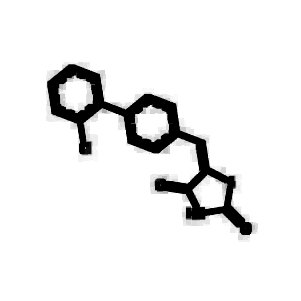 O=C1NC(=O)/C(=C\c2ccc(-c3ccccc3Cl)cc2)S1